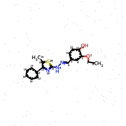 CCOc1cc(/C=N/Nc2nc(-c3ccccc3)c(C)s2)ccc1O